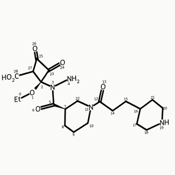 CCO[C@]1(N(N)C(=O)[C@@H]2CCCN(C(=O)CCC3CCNCC3)C2)C(=O)C(=O)C1C(=O)O